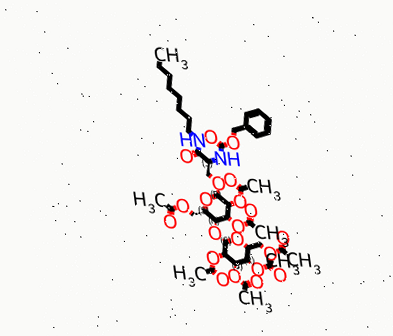 CCCCCCCCNC(=O)[C@H](CO[C@@H]1O[C@@H](COC(C)=O)[C@@H](O[C@@H]2OC(COC(C)=O)[C@@H](OC(C)=O)[C@H](OC(C)=O)C2OC(C)=O)C(OC(C)=O)C1OC(C)=O)NC(=O)OCc1ccccc1